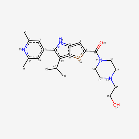 Cc1cc(-c2[nH]c3cc(C(=O)N4CCN(CCO)CC4)sc3c2C(C)C)cc(C)n1